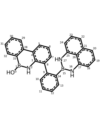 OB1Nc2c(cccc2-c2ccccc2B2Nc3cccc4cccc(c34)N2)-c2ccccc21